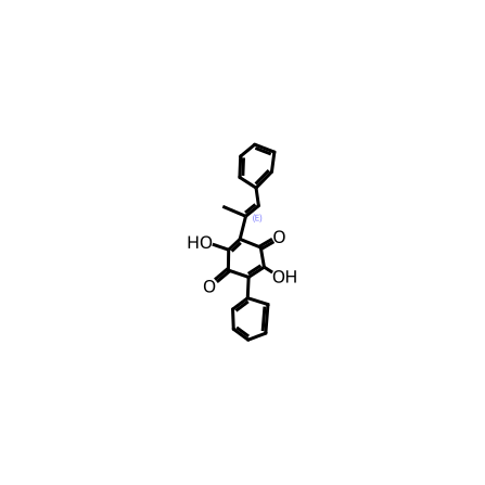 C/C(=C\c1ccccc1)C1=C(O)C(=O)C(c2ccccc2)=C(O)C1=O